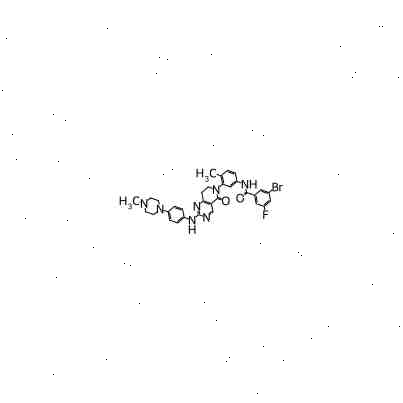 Cc1ccc(NC(=O)c2cc(F)cc(Br)c2)cc1N1CCc2nc(Nc3ccc(N4CCN(C)CC4)cc3)ncc2C1=O